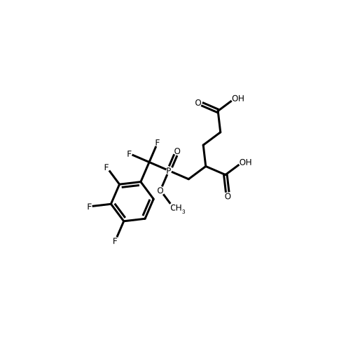 COP(=O)(CC(CCC(=O)O)C(=O)O)C(F)(F)c1ccc(F)c(F)c1F